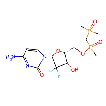 CP(C)(=O)CP(C)(=O)OC[C@H]1O[C@@H](n2ccc(N)nc2=O)C(F)(F)[C@H]1O